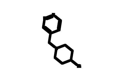 CCC1CCN(Cc2ccnnc2)CC1